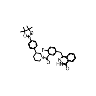 CC1(C)OB(c2ccc(C3CCCN(C(=O)c4cc(Cc5n[nH]c(=O)c6ccccc56)ccc4F)C3)cc2)OC1(C)C